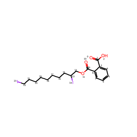 O=C(O)c1ccccc1C(=O)OCC(I)CCCCCCCCI